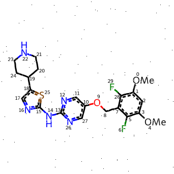 COc1cc(OC)c(F)c(COc2cnc(Nc3ncc(C4CCNCC4)s3)nc2)c1F